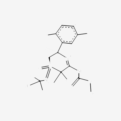 [2H]C([2H])([2H])N=[S@@]1(=O)C[C@@](C)(c2cc(I)ccc2F)N=C(NC(=O)OC(C)(C)C)C1(C)C